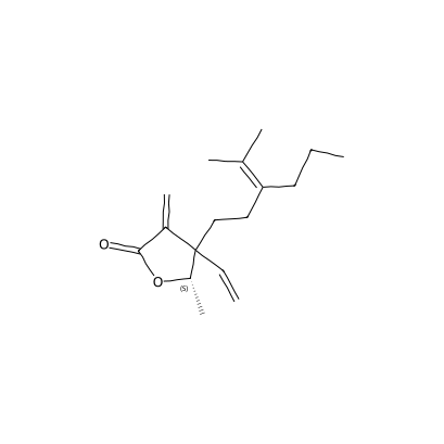 C=CC1(CCC(CCC)=C(C)C)C(=C)C(=O)O[C@H]1C